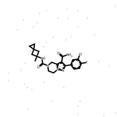 CC1(NC(=O)N2CCn3nc(-c4ccc(F)c(Cl)c4)c(C(N)=O)c3C2)CC2(CC2)C1